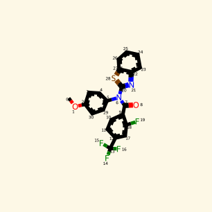 COc1ccc(N(C(=O)c2ccc(C(F)(F)F)cc2F)c2nc3ccccc3s2)cc1